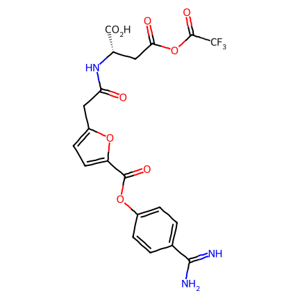 N=C(N)c1ccc(OC(=O)c2ccc(CC(=O)N[C@@H](CC(=O)OC(=O)C(F)(F)F)C(=O)O)o2)cc1